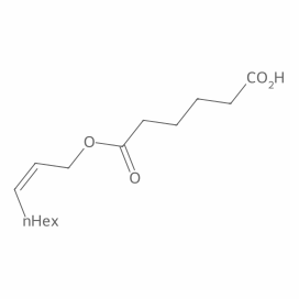 CCCCCC/C=C\COC(=O)CCCCC(=O)O